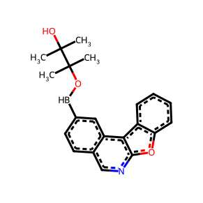 CC(C)(O)C(C)(C)OBc1ccc2cnc3oc4ccccc4c3c2c1